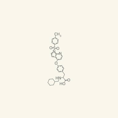 Cc1ccc(S(=O)(=O)n2ccc3c(Oc4ccc(CC(NCC5CCCCC5)C(=O)O)cc4)ccnc32)cc1